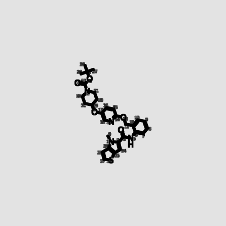 Cn1c(C(=O)Nc2ccccc2COc2ccc(OC3CCN(C(=O)OC(C)(C)C)CC3)cn2)cc2sccc21